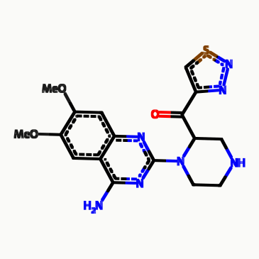 COc1cc2nc(N3CCNCC3C(=O)c3csnn3)nc(N)c2cc1OC